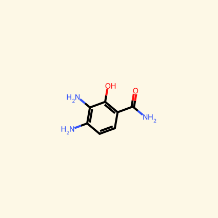 NC(=O)c1ccc(N)c(N)c1O